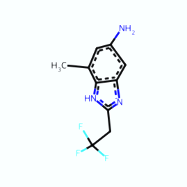 Cc1cc(N)cc2nc(CC(F)(F)F)[nH]c12